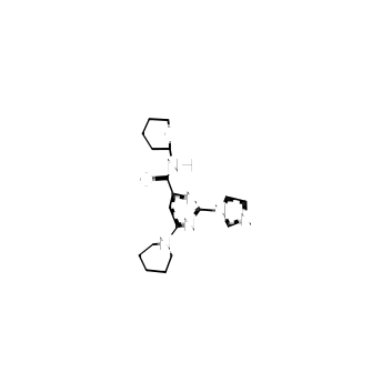 O=C(NC1CCCCC1)c1cc(N2CCCCC2)nc(-n2ccnc2)n1